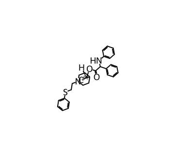 O=C(O[C@H]1C[N+]2(CCSc3ccccc3)CCC1CC2)C(Nc1ccccc1)c1ccccc1